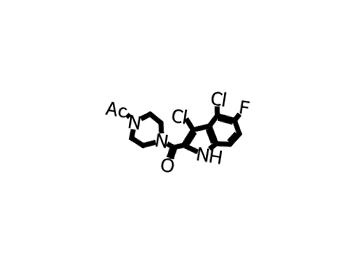 CC(=O)N1CCN(C(=O)c2[nH]c3ccc(F)c(Cl)c3c2Cl)CC1